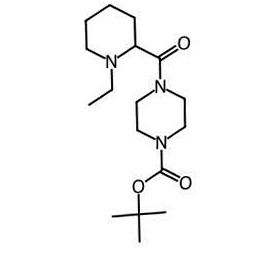 CCN1CCCCC1C(=O)N1CCN(C(=O)OC(C)(C)C)CC1